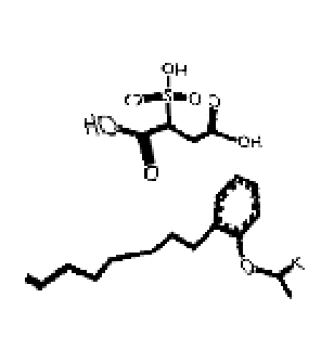 CCCCCCCCc1ccccc1O[CH](C)[K].O=C(O)CC(C(=O)O)S(=O)(=O)O